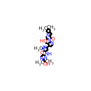 Cn1nc(-c2ccnc(N3CCn4c(cc5c4CC(C)(C)C5)C3=O)c2CO)cc(Nc2ccnc(C(C)(C)O)n2)c1=O